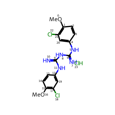 COc1ccc(NC(=N)NC(=N)Nc2ccc(OC)c(Cl)c2)cc1Cl.Cl